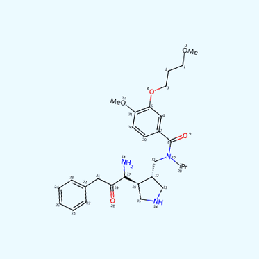 COCCCOc1cc(C(=O)N(C[C@@H]2CNC[C@H]2C(N)C(=O)Cc2ccccc2)C(C)C)ccc1OC